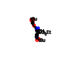 CCOC(=O)CC(c1ccc2c(c1)CN(C(=O)OC(C)(C)C)CC2)c1ccc2c(nnn2CCCOCc2ccc(C(=O)OC(C)(C)C)cc2)c1C